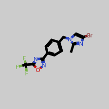 Cc1nc(Br)cn1Cc1ccc(-c2noc(C(F)(F)F)n2)cc1